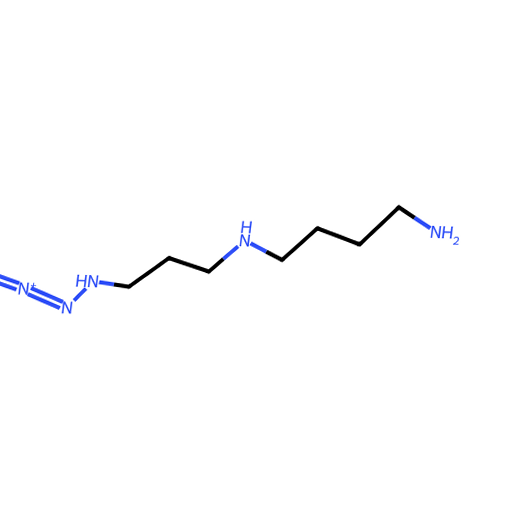 [N-]=[N+]=NNCCCNCCCCN